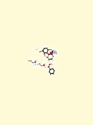 CCCC(=O)NCCC(=O)O[C@@H](C(=O)OC1=CC[C@@]2(O)[C@H]3Cc4ccc(CO)c5c4C2(CCN3C)C1O5)c1ccccc1